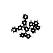 c1ccc(C2(c3ccccc3)c3ccccc3N(c3cc(N(c4ccc(-c5ccncc5)cc4)c4ccc(-c5ccncc5)cc4)cc(-n4c5ccccc5c5ccccc54)c3)c3ccccc32)cc1